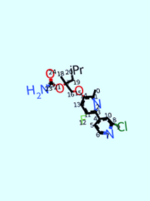 Cc1nc(-c2ccnc(Cl)c2)c(F)cc1OCC(C)(CC(C)C)OC(N)=O